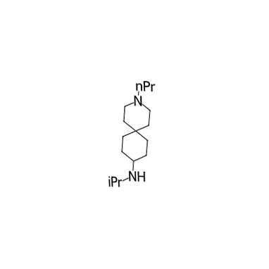 CCCN1CCC2(CCC(NC(C)C)CC2)CC1